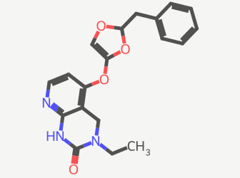 CCN1Cc2c(OC3=COC(Cc4ccccc4)O3)ccnc2NC1=O